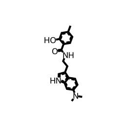 Cc1ccc(C(=O)NCCc2c[nH]c3cc(N(C)C)ccc23)c(O)c1